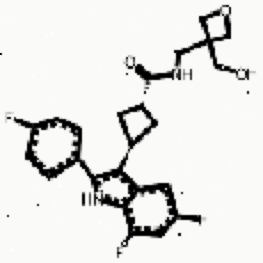 O=C(NCC1(CO)COC1)[C@H]1C[C@H](c2c(-c3ccc(F)cc3)[nH]c3c(F)cc(F)cc32)C1